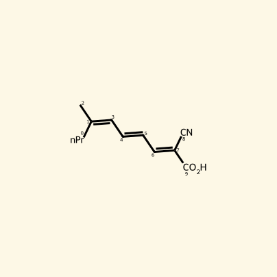 CCC\C(C)=C/C=C/C=C(\C#N)C(=O)O